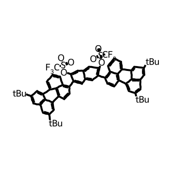 CC(C)(C)c1cc2cc(C(C)(C)C)cc3c4ccc(-c5cc6cc(-c7ccc8c9cc(C(C)(C)C)cc%10cc(C(C)(C)C)cc(c%11cccc7c%118)c%109)c(OS(=O)(=O)C(F)(F)F)cc6cc5OS(=O)(=O)C(F)(F)F)c5cccc(c(c1)c23)c54